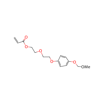 C=CC(=O)OCCOCCOc1ccc(OCOC)cc1